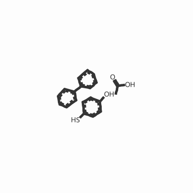 CC(=O)O.Oc1ccc(S)cc1.c1ccc(-c2ccccc2)cc1